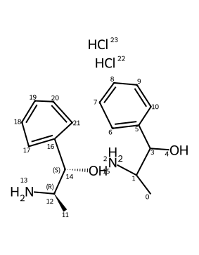 CC(N)C(O)c1ccccc1.C[C@@H](N)[C@@H](O)c1ccccc1.Cl.Cl